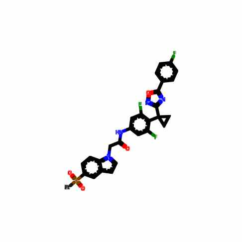 CCS(=O)(=O)c1ccc2c(ccn2CC(=O)Nc2cc(F)c(C3(c4noc(-c5ccc(F)cc5)n4)CC3)c(F)c2)c1